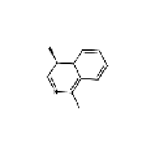 CC1=C2C=CC=CC2[C@H](C)C=N1